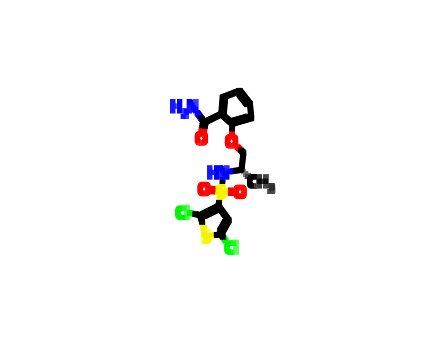 C[C@@H](COc1ccccc1C(N)=O)NS(=O)(=O)c1cc(Cl)sc1Cl